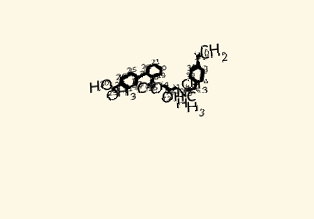 C=Cc1ccc(CC(C)(C)NC[C@@H](O)CO[C@H](C)c2ccccc2-c2ccc(C(=O)O)cc2)cc1